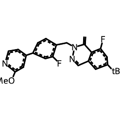 C=C1c2c(F)cc(C(C)(C)C)cc2C=NN1Cc1ccc(-c2ccnc(OC)c2)cc1F